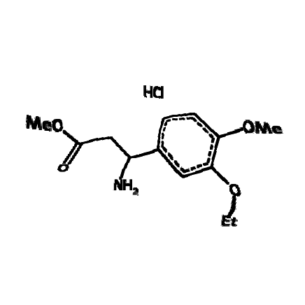 CCOc1cc(C(N)CC(=O)OC)ccc1OC.Cl